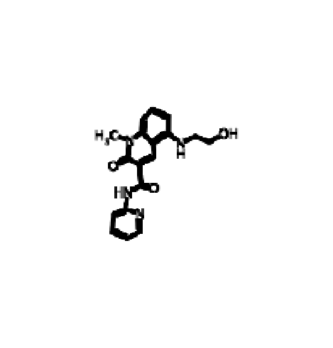 Cn1c(=O)c(C(=O)Nc2ccccn2)cc2c(NCCO)cccc21